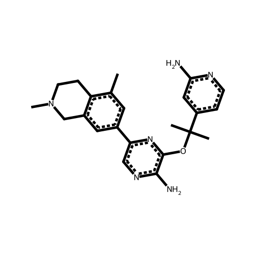 Cc1cc(-c2cnc(N)c(OC(C)(C)c3ccnc(N)c3)n2)cc2c1CCN(C)C2